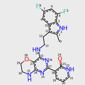 Cc1[nH]c2c(F)cc(F)cc2c1CCNc1nc(-c2ccc[nH]c2=O)nc2c1OCCN2